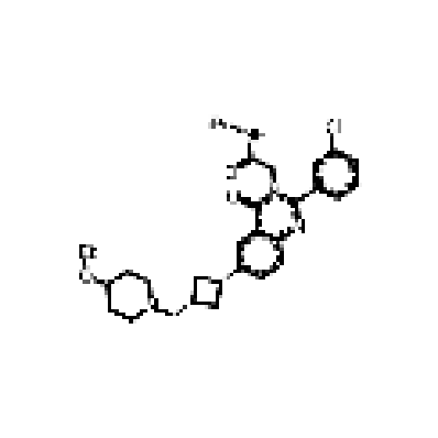 CCOC1CCN(C[C@H]2C[C@H](c3ccc4nc(-c5cccc(Cl)c5)n(CC(=O)NC(C)C)c(=O)c4c3)C2)CC1